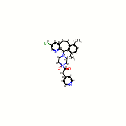 Cc1ccc(C)c2c1CCc1cc(Br)cnc1C2N1CC[N+]([O-])(C(=O)Cc2ccncc2)CC1